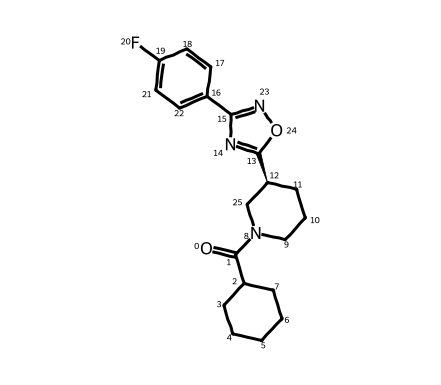 O=C(C1CCCCC1)N1CCC[C@H](c2nc(-c3ccc(F)cc3)no2)C1